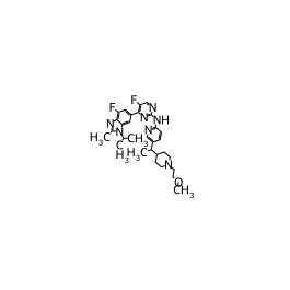 COCCN1CCC(C(C)c2ccc(Nc3ncc(F)c(-c4cc(F)c5nc(C)n(C(C)C)c5c4)n3)nc2)CC1